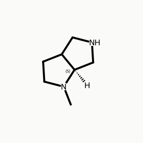 CN1CCC2CNC[C@H]21